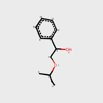 CC(C)OCC(O)c1ccccc1